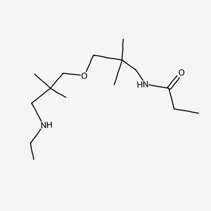 CCNCC(C)(C)COCC(C)(C)CNC(=O)CC